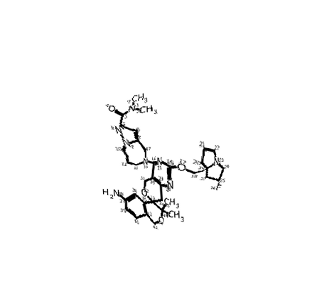 CN(C)C(=O)c1cc2n(n1)CCCN(c1nc(OC[C@@]34CCCN3C[C@H](F)C4)nc3c1COC1(C3)c3cc(N)ccc3COC1(C)C)C2